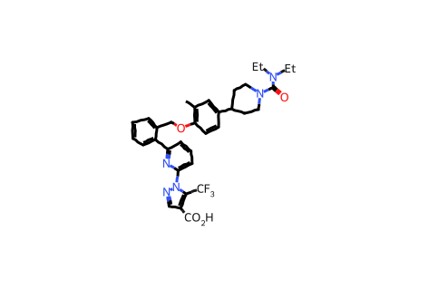 CCN(CC)C(=O)N1CCC(c2ccc(OCc3ccccc3-c3cccc(-n4ncc(C(=O)O)c4C(F)(F)F)n3)c(C)c2)CC1